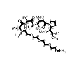 CC[C@H](C)[C@@H]([C@@H](CC(=O)N1CCC[C@H]1[C@H](OC)[C@@H](C)C(C)=O)OC)N(C)C(=O)[C@@H](NC(=O)[C@H](C(C)C)N(C)CCOCCOCCOCCON)C(C)C